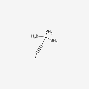 BC(B)(P)C#CC